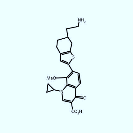 COc1c(-c2cc3c(s2)CC(CCN)CC3)ccc2c(=O)c(C(=O)O)cn(C3CC3)c12